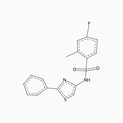 Cc1cc(F)ccc1S(=O)(=O)Nc1csc(-c2ccccc2)n1